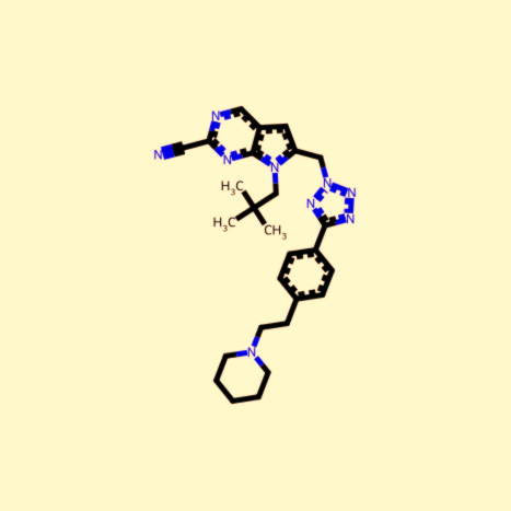 CC(C)(C)Cn1c(Cn2nnc(-c3ccc(CCN4CCCCC4)cc3)n2)cc2cnc(C#N)nc21